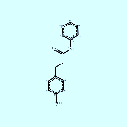 CC(C)(C)c1ccc(CCC(=O)Nc2cccnc2)cc1